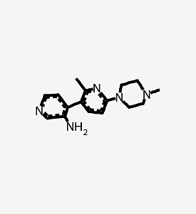 Cc1nc(N2CCN(C)CC2)ccc1-c1ccncc1N